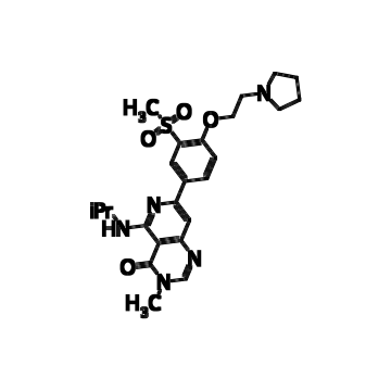 CC(C)Nc1nc(-c2ccc(OCCN3CCCC3)c(S(C)(=O)=O)c2)cc2ncn(C)c(=O)c12